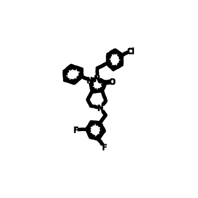 O=c1c2c(n(-c3ccccc3)n1Cc1ccc(Cl)cc1)CCN(Cc1cc(F)cc(F)c1)C2